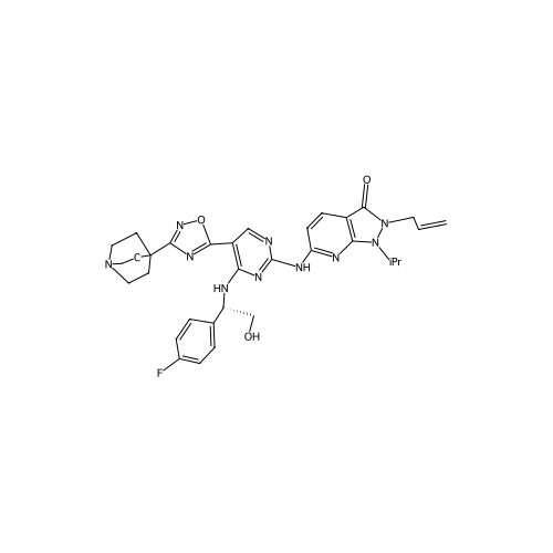 C=CCn1c(=O)c2ccc(Nc3ncc(-c4nc(C56CCN(CC5)CC6)no4)c(N[C@H](CO)c4ccc(F)cc4)n3)nc2n1C(C)C